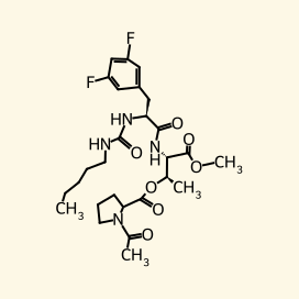 CCCCCNC(=O)N[C@@H](Cc1cc(F)cc(F)c1)C(=O)N[C@H](C(=O)OC)[C@@H](C)OC(=O)C1CCCN1C(C)=O